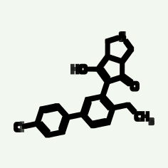 CCc1ccc(-c2ccc(Cl)cc2)cc1C1=C(O)C2CSCC2C1=O